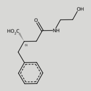 O=C(C[C@H](Cc1ccccc1)C(=O)O)NCCO